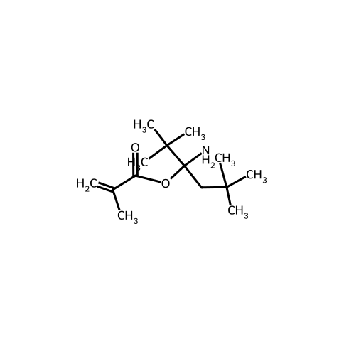 C=C(C)C(=O)OC(N)(CC(C)(C)C)C(C)(C)C